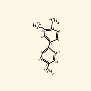 Cc1ccc(-c2cnc(N)cn2)cc1C